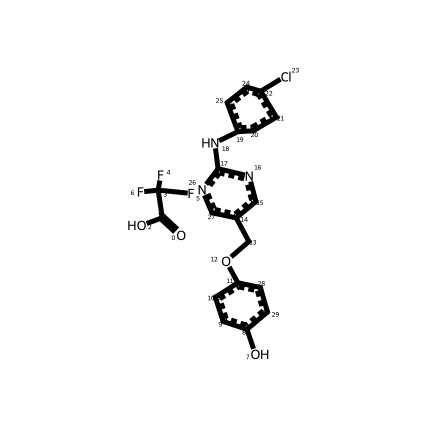 O=C(O)C(F)(F)F.Oc1ccc(OCc2cnc(Nc3ccc(Cl)cc3)nc2)cc1